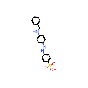 O=S(=O)(O)c1ccc(N=Nc2ccc(NCc3ccccc3)cc2)cc1